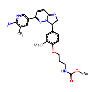 COc1cc(C2CN=C3C=CC(c4cnc(N)c(C(F)(F)F)c4)=NN32)ccc1OCCCNC(=O)OC(C)(C)C